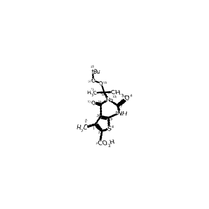 Cc1c(C(=O)O)sc2[nH]c(=O)n(C(C)(C)OOC(C)(C)C)c(=O)c12